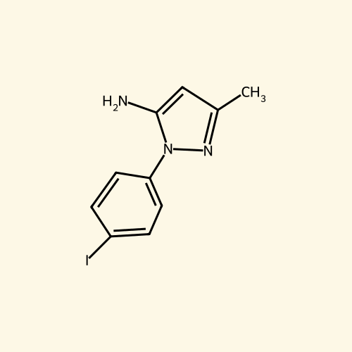 Cc1cc(N)n(-c2ccc(I)cc2)n1